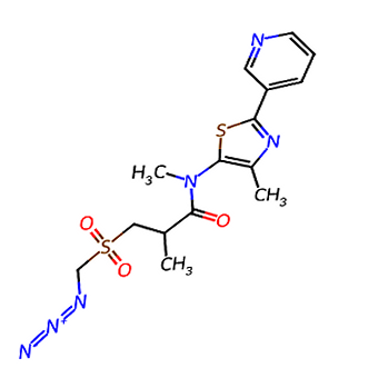 Cc1nc(-c2cccnc2)sc1N(C)C(=O)C(C)CS(=O)(=O)CN=[N+]=[N-]